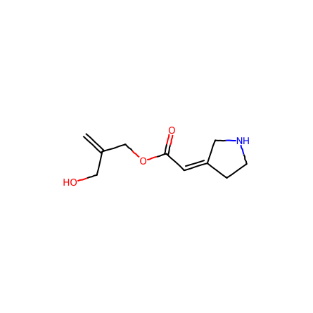 C=C(CO)COC(=O)C=C1CCNC1